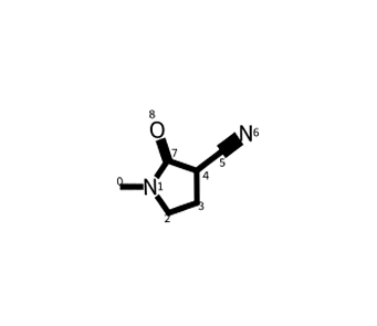 CN1CCC(C#N)C1=O